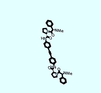 CN[C@H](C(=O)N1CCC[C@H]1C(=O)Nc1ccc(C#Cc2ccc(NC(=O)[C@@H]3CCCN3C(=O)[C@@H](NC)c3ccccc3)cc2)cc1)c1ccccc1